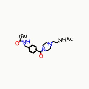 CC(=O)NCCN1CCN(C(=O)c2ccc(CNC(=O)C(C)(C)C)cc2)CC1